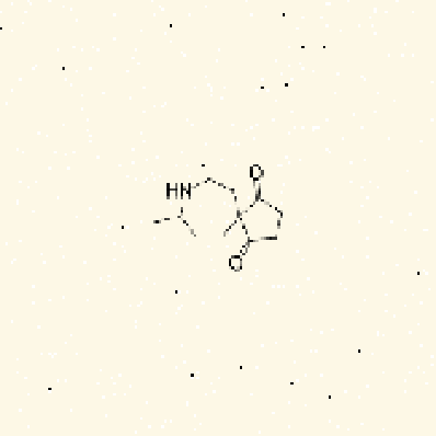 CC1CCC2(CCN1)C(=O)CCC2=O